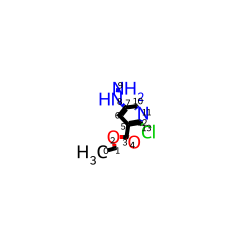 CCOC(=O)c1cc(NN)cnc1Cl